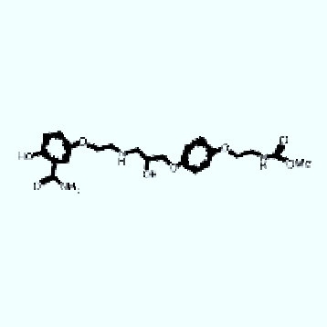 COC(=O)NCCOc1ccc(OCC(O)CNCCOc2ccc(O)c(C(N)=O)c2)cc1